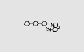 Nc1ccccc1N1CC1c1cccc(-c2ccc(-c3ccccc3)cc2)c1